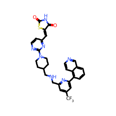 O=C1NC(=O)/C(=C/c2ccnc(N3CCC(CNCc4cc(C(F)(F)F)cc(-c5cccc6cnccc56)n4)CC3)n2)S1